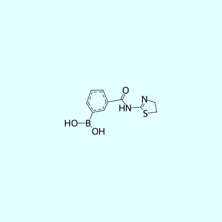 O=C(NC1=NCCS1)c1cccc(B(O)O)c1